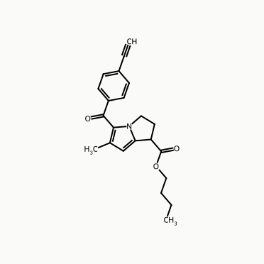 C#Cc1ccc(C(=O)c2c(C)cc3n2CCC3C(=O)OCCCC)cc1